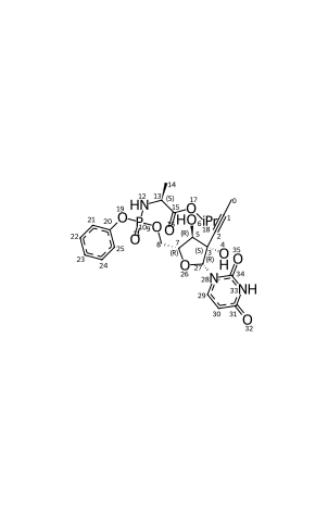 CC#C[C@]1(O)[C@H](O)[C@@H](COP(=O)(N[C@@H](C)C(=O)OC(C)C)Oc2ccccc2)O[C@H]1n1ccc(=O)[nH]c1=O